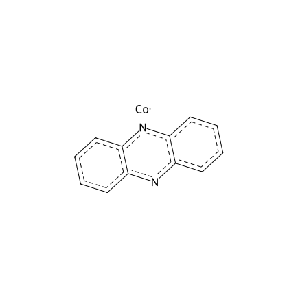 [Co].c1ccc2nc3ccccc3nc2c1